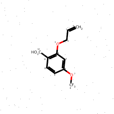 C=CCOc1cc(OC(F)(F)F)ccc1C(=O)O